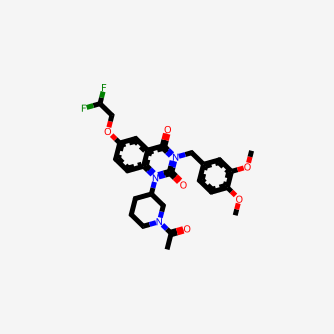 COc1ccc(Cn2c(=O)c3cc(OCC(F)F)ccc3n(C3CCCN(C(C)=O)C3)c2=O)cc1OC